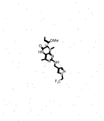 CC=C(OC)[C@H]1C(=O)Nc2c(C)nc(NCc3cnn(CC(F)(F)F)c3)nc2N1C